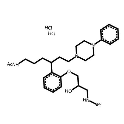 CC(=O)NCCCC(CCN1CCN(c2ccccc2)CC1)c1ccccc1OCC(O)CNC(C)C.Cl.Cl